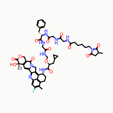 CC[C@@]1(O)C(=O)OCc2c1cc1n(c2=O)Cc2c-1nc1cc(F)c(C)c3c1c2[C@@H](NC(=O)C(CC1CC1)OCNC(=O)CNC(=O)[C@H](Cc1ccccc1)NC(=O)CNC(=O)CNC(=O)CCCCCN1C(=O)CC(C)C1=O)CC3